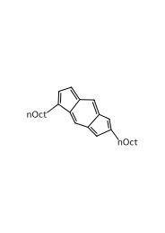 CCCCCCCCC1=Cc2cc3c(cc2=C1)C(CCCCCCCC)=CC=3